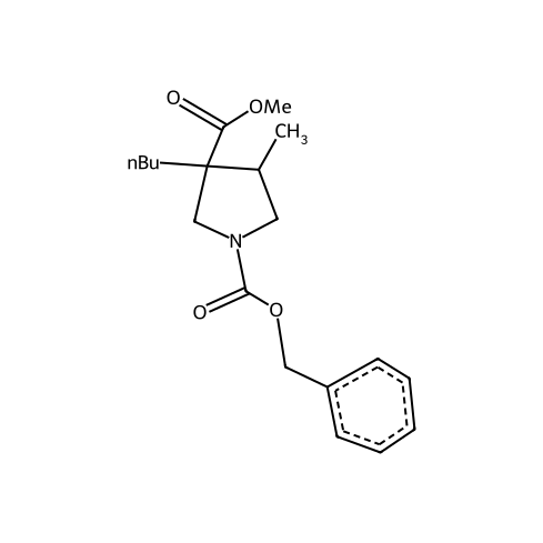 CCCCC1(C(=O)OC)CN(C(=O)OCc2ccccc2)CC1C